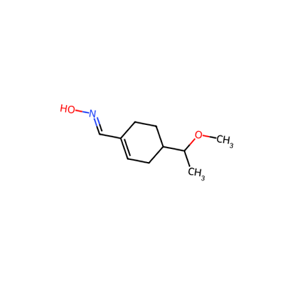 COC(C)C1CC=C(C=NO)CC1